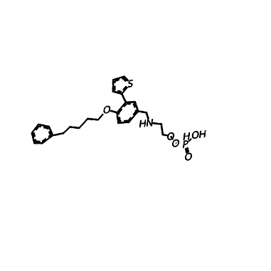 O=[PH](O)OOCCNCc1ccc(OCCCCCc2ccccc2)c(-c2cccs2)c1